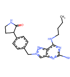 CCCCNc1nc(N)nc2cn(Cc3ccc(C4CCNC4=O)cc3)nc12